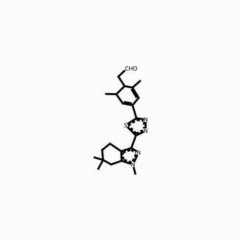 CC1=CC(c2nnc(-c3nn(C)c4c3CCC(C)(C)C4)s2)=CC(C)C1CC=O